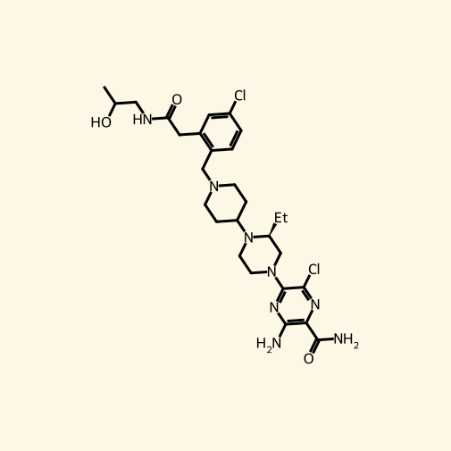 CC[C@H]1CN(c2nc(N)c(C(N)=O)nc2Cl)CCN1C1CCN(Cc2ccc(Cl)cc2CC(=O)NCC(C)O)CC1